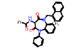 Cc1ccc2ccccc2c1CN1C(=O)C(NC(=O)C(C)C)C(=O)N(c2ccccc2)c2ccccc21